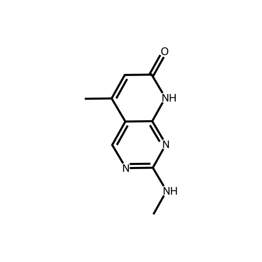 CNc1ncc2c(C)cc(=O)[nH]c2n1